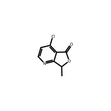 CC1OC(=O)c2c(Cl)ccnc21